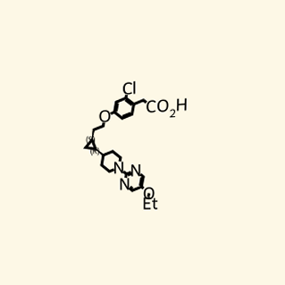 CCOc1cnc(N2CCC([C@H]3C[C@H]3CCOc3ccc(CC(=O)O)c(Cl)c3)CC2)nc1